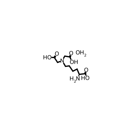 N[C@@H](CCCCN(CC(=O)O)CC(=O)O)C(=O)O.O